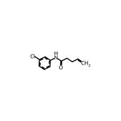 C=CCCC(=O)Nc1cccc(Cl)c1